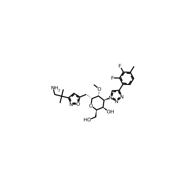 CO[C@@H]1[C@@H](n2cc(-c3ccc(C)c(F)c3F)nn2)[C@@H](O)[C@@H](CO)O[C@@H]1Cc1cc(C(C)(C)CN)no1